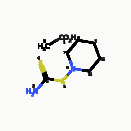 CC(=O)O.NC(=S)SN1CCCCC1